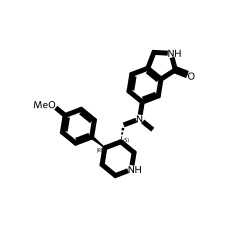 COc1ccc([C@@H]2CCNC[C@H]2CN(C)c2ccc3c(c2)C(=O)NC3)cc1